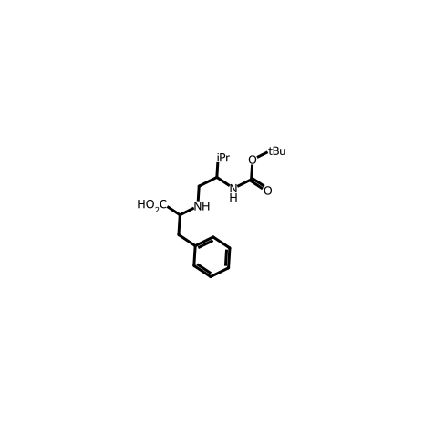 CC(C)C(CNC(Cc1ccccc1)C(=O)O)NC(=O)OC(C)(C)C